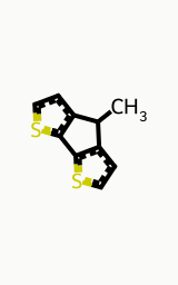 CC1c2ccsc2-c2sccc21